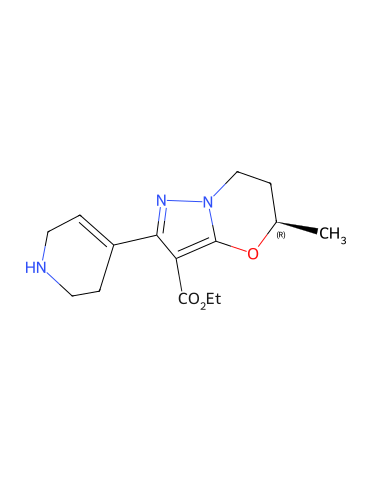 CCOC(=O)c1c(C2=CCNCC2)nn2c1O[C@H](C)CC2